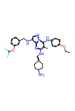 CCOc1ccc(Nc2c(C)c(NC=C3CCC(N)CC3)nc3c(NCc4cccc(OC(F)F)c4)cnn23)cc1